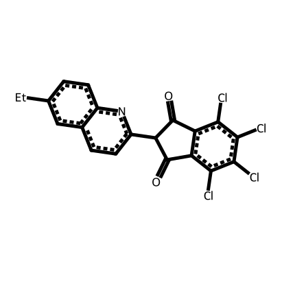 CCc1ccc2nc(C3C(=O)c4c(Cl)c(Cl)c(Cl)c(Cl)c4C3=O)ccc2c1